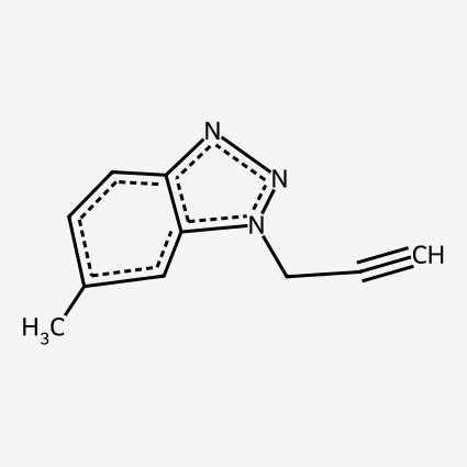 C#CCn1nnc2ccc(C)cc21